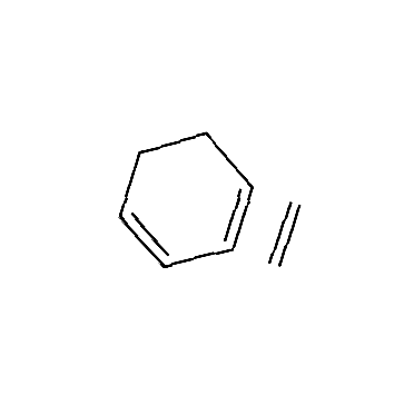 C1=CCCC=C1.C=C